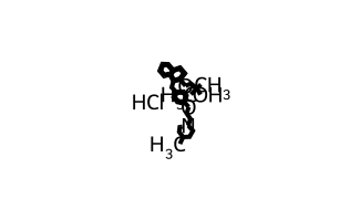 CC1CCN(CCOc2ccc(Cc3c(OCC(C)(C)O)ccc4ccccc34)cc2)CC1.Cl